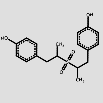 CC(Cc1ccc(O)cc1)S(=O)(=O)C(C)Cc1ccc(O)cc1